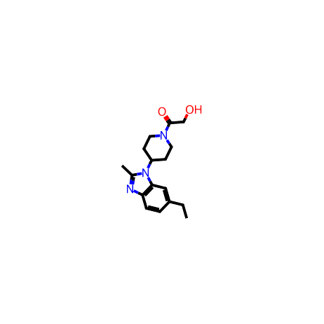 CCc1ccc2nc(C)n(C3CCN(C(=O)CO)CC3)c2c1